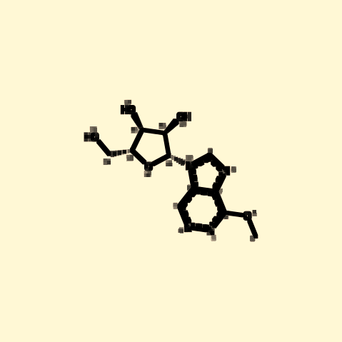 COc1nncc2c1ncn2[C@@H]1O[C@H](CO)[C@@H](O)[C@H]1O